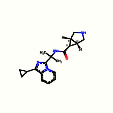 CC(C)(NC(=O)[C@H]1[C@@H]2CNC[C@@H]21)c1nc(C2CC2)c2ccccn12